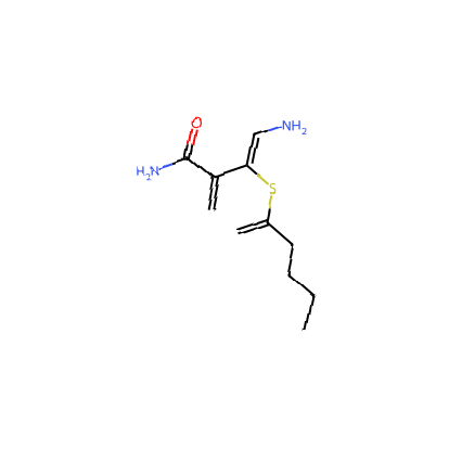 C=C(CCCC)S/C(=C\N)C(=C)C(N)=O